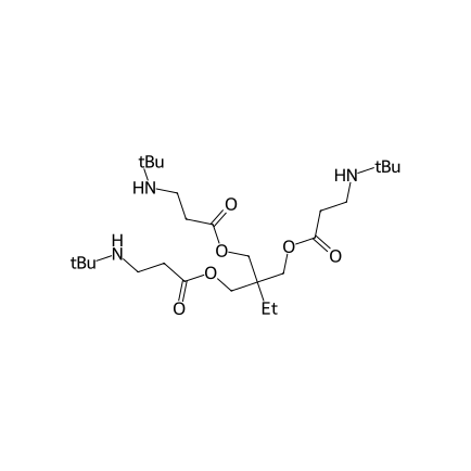 CCC(COC(=O)CCNC(C)(C)C)(COC(=O)CCNC(C)(C)C)COC(=O)CCNC(C)(C)C